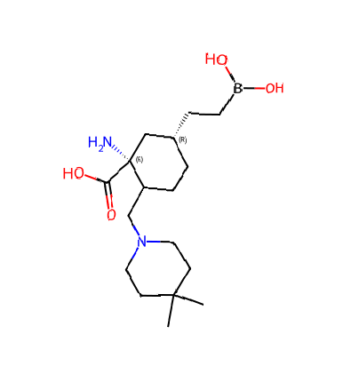 CC1(C)CCN(CC2CC[C@@H](CCB(O)O)C[C@]2(N)C(=O)O)CC1